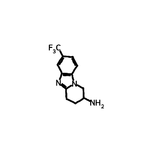 NC1CCc2nc3cc(C(F)(F)F)ccc3n2C1